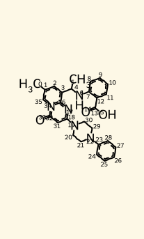 Cc1cc(C(C)Nc2ccccc2C(=O)O)c2nc(N3CCN(c4ccccc4)CC3)cc(=O)n2c1